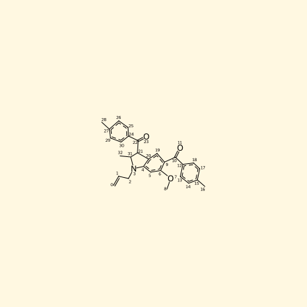 C=CCN1c2cc(OC)c(C(=O)c3ccc(C)cc3)cc2C(C(=O)c2ccc(C)cc2)C1C